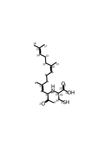 CC(=O)C(C=C(C)CCC=C(C)CCC=C(C)C)N[C@H](CS)C(=O)O